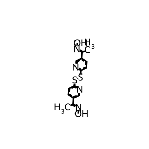 CC(=NO)c1ccc(SSc2ccc(C(C)=NO)cn2)nc1